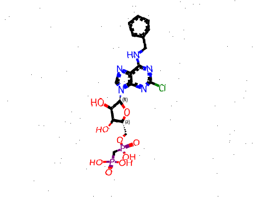 O=P(O)(O)CP(=O)(O)OC[C@H]1O[C@@H](n2cnc3c(NCc4ccccc4)nc(Cl)nc32)C(O)C1O